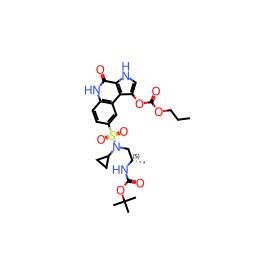 CCCOC(=O)Oc1c[nH]c2c(=O)[nH]c3ccc(S(=O)(=O)N(C[C@H](C)NC(=O)OC(C)(C)C)C4CC4)cc3c12